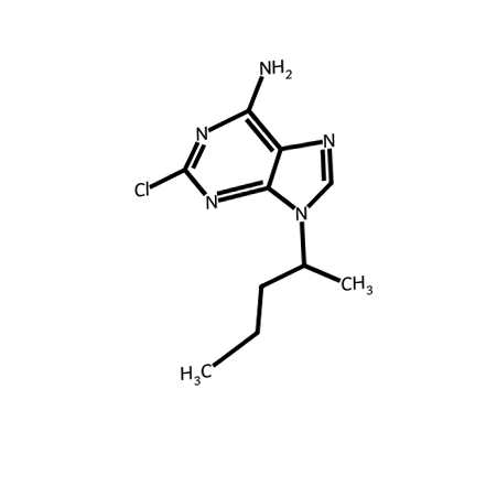 CCCC(C)n1cnc2c(N)nc(Cl)nc21